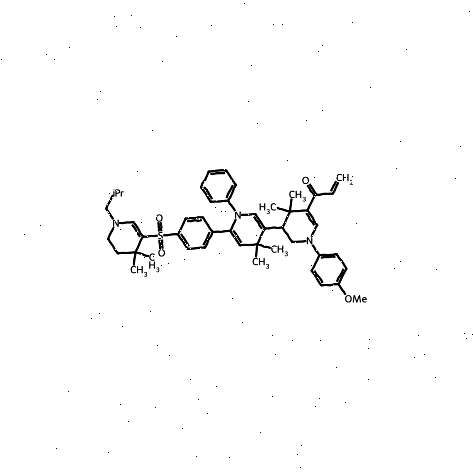 C=CC(=O)C1=CN(c2ccc(OC)cc2)CC(C2=CN(c3ccccc3)C(c3ccc(S(=O)(=O)C4=CN(CC(C)C)CCC4(C)C)cc3)=CC2(C)C)C1(C)C